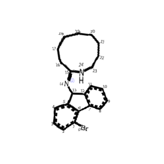 Brc1cccc2c1-c1ccccc1C2/N=C1/CCCCCCCCN1